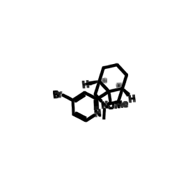 COC1(c2cc(Br)ccn2)[C@@H]2CCC[C@H]1CN(C)C2